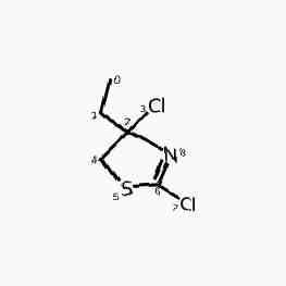 CCC1(Cl)CSC(Cl)=N1